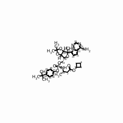 C[C@@H](CC(=O)OC1CCC1)NP(=O)(OC[C@H]1O[C@@](C)(c2ccc3c(N)ncnn23)[C@@H]2OC(C)(C)O[C@@H]21)Oc1ccc(C(C)(C)C)cc1